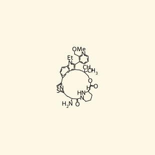 CCn1c(-c2cccnc2COC)c2c3cc(ccc31)-c1csc(n1)C[C@H](N)C(=O)N1CCC[C@H](N1)C(=O)OCC(C)(C)C2